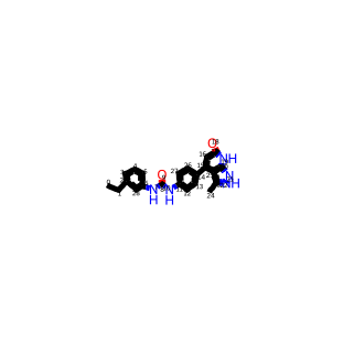 CCc1cccc(NC(=O)Nc2ccc(-c3cc(=O)[nH]c4n[nH]c(C)c34)cc2)c1